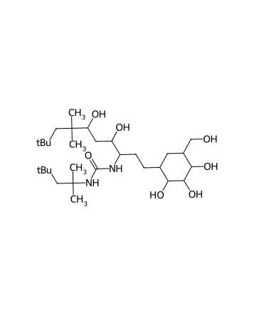 CC(C)(C)CC(C)(C)NC(=O)NC(CCC1CC(CO)C(O)C(O)C1O)C(O)CC(O)C(C)(C)CC(C)(C)C